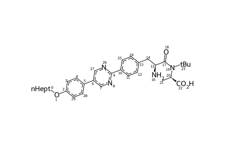 CCCCCCCOc1ccc(-c2cnc(-c3ccc(C[C@H](N)C(=O)N([C@H](C)C(=O)O)C(C)(C)C)cc3)nc2)cc1